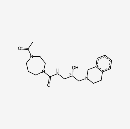 CC(=O)N1CCCN(C(=O)NC[C@H](O)CN2CCc3ccccc3C2)CC1